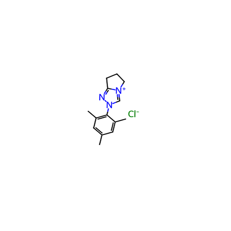 Cc1cc(C)c(-n2c[n+]3c(n2)CCC3)c(C)c1.[Cl-]